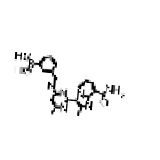 Cc1cc(NCc2cccc(B(O)O)c2)nc(-c2c(C)nc3c(C(N)=O)cccn23)n1